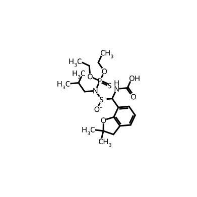 CCOP(=S)(OCC)N(CC(C)C)[S+]([O-])C(NC(=O)O)c1cccc2c1OC(C)(C)C2